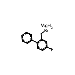 Fc1ccc(-c2ccccc2)c(CBr)c1.[MgH2]